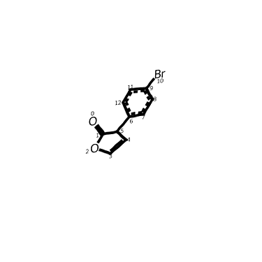 O=C1OC=CC1c1ccc(Br)cc1